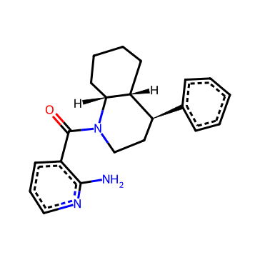 Nc1ncccc1C(=O)N1CC[C@H](c2ccccc2)[C@H]2CCCC[C@H]21